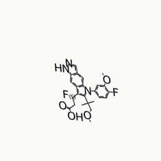 COCC(C)(C)c1c([C@@H](F)CC(=O)O)c2cc3[nH]ncc3cc2n1-c1ccc(F)c(OC)c1